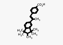 CC(=Cc1ccc(C(=O)O)cc1)c1ccc2c(c1)C(C)(C)C(C)C2(C)C